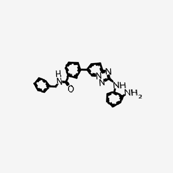 Nc1ccccc1Nc1nc2ccc(-c3cccc(C(=O)NCc4ccccc4)c3)cn2n1